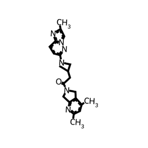 Cc1cc(C)c2c(n1)CN(C(=O)CC1CN(c3ccc4nc(C)cn4n3)C1)C2